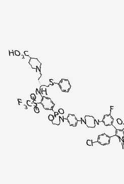 Cc1c(S(C)(=O)=O)c(-c2cc(F)cc(N3CCN(c4ccc(N5CCO[P@@]5(=O)c5ccc(N[C@H](CCN6CCC(C(=O)O)CC6)CSc6ccccc6)c(S(=O)(=O)C(F)(F)F)c5)cc4)CC3)c2)c(-c2ccc(Cl)cc2)n1C(C)C